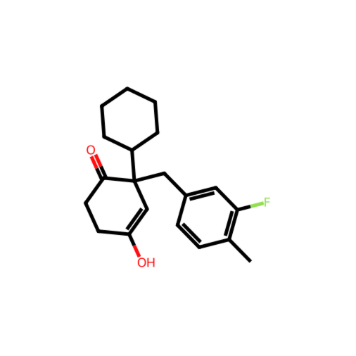 Cc1ccc(CC2(C3CCCCC3)C=C(O)CCC2=O)cc1F